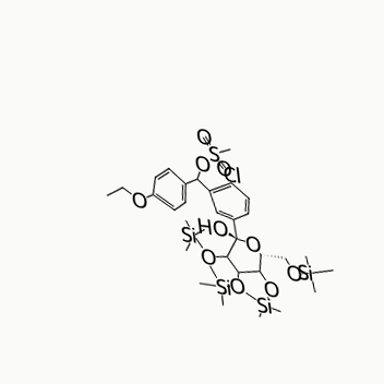 CCOc1ccc(C(OS(C)(=O)=O)c2cc([C@]3(O)O[C@H](CO[Si](C)(C)C)C(O[Si](C)(C)C)C(O[Si](C)(C)C)C3O[Si](C)(C)C)ccc2Cl)cc1